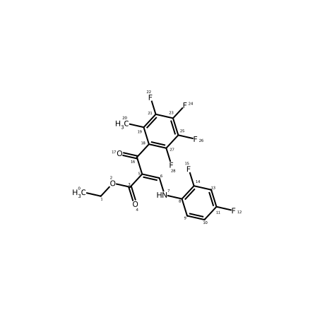 CCOC(=O)C(=CNc1ccc(F)cc1F)C(=O)c1c(C)c(F)c(F)c(F)c1F